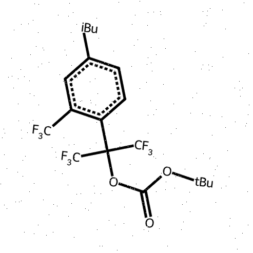 CCC(C)c1ccc(C(OC(=O)OC(C)(C)C)(C(F)(F)F)C(F)(F)F)c(C(F)(F)F)c1